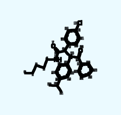 CCCCCNC(=O)C(c1ccc(Cl)cc1)N(C(=O)c1ccccc1)c1ccc(C(C)C)cc1